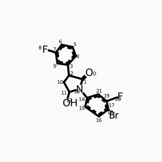 O=C1C(c2cccc(F)c2)CC(O)N1c1ccc(Br)c(F)c1